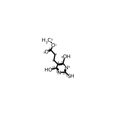 COC(=O)CCc1c(O)nc(S)nc1O